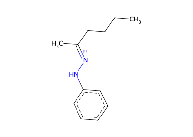 CCCC/C(C)=N/Nc1ccccc1